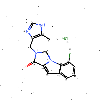 Cc1[nH]cnc1CN1Cn2c(cc3cccc(Cl)c32)C1=O.Cl